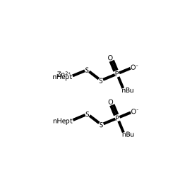 CCCCCCCSSP(=O)([O-])CCCC.CCCCCCCSSP(=O)([O-])CCCC.[Zn+2]